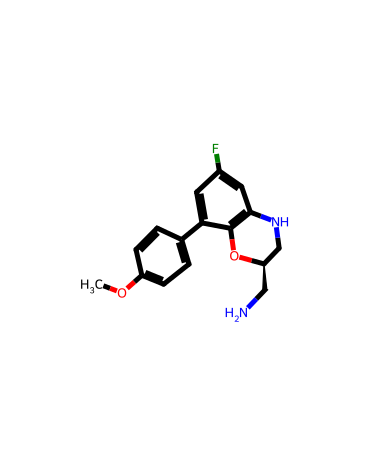 COc1ccc(-c2cc(F)cc3c2O[C@H](CN)CN3)cc1